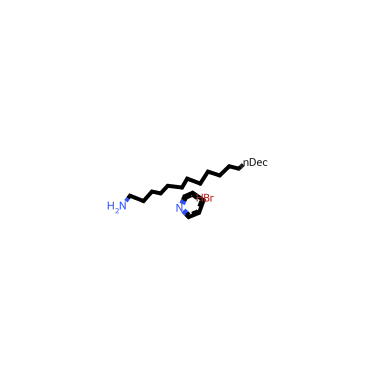 Br.CCCCCCCCCCCCCCCCCCCCCCN.c1ccncc1